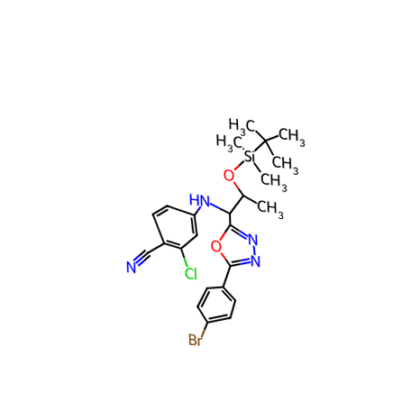 CC(O[Si](C)(C)C(C)(C)C)C(Nc1ccc(C#N)c(Cl)c1)c1nnc(-c2ccc(Br)cc2)o1